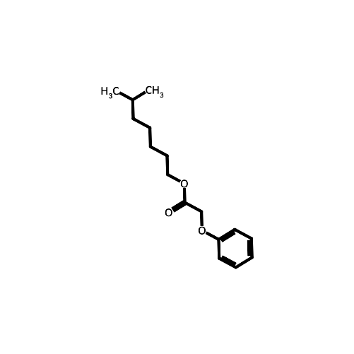 CC(C)CCCCCOC(=O)COc1ccccc1